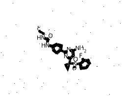 Nc1cc(C2(S(=O)(=O)c3ccccc3F)CC2)nc(-c2ccc(NC(=O)NCCF)cc2)n1